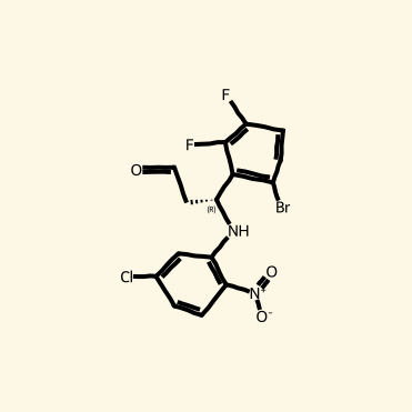 O=CC[C@@H](Nc1cc(Cl)ccc1[N+](=O)[O-])c1c(Br)ccc(F)c1F